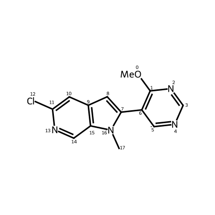 COc1ncn[c]c1-c1cc2cc(Cl)ncc2n1C